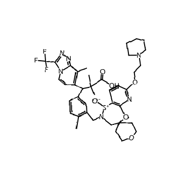 Cc1ccc(C(c2ccn3c(C(F)(F)F)nnc3c2C)C(C)(C)C(=O)O)cc1CN1CC2(CCOCC2)Oc2nc(OCCN3CCCCC3)ccc2[S+]1[O-]